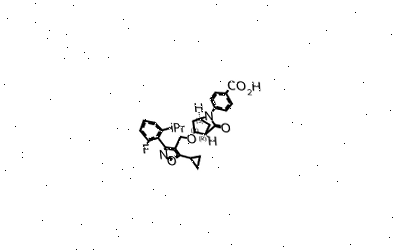 CC(C)c1cccc(F)c1-c1noc(C2CC2)c1CO[C@@H]1C[C@@H]2C[C@H]1C(=O)N2c1ccc(C(=O)O)cc1